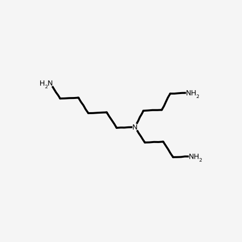 NCCCCCN(CCCN)CCCN